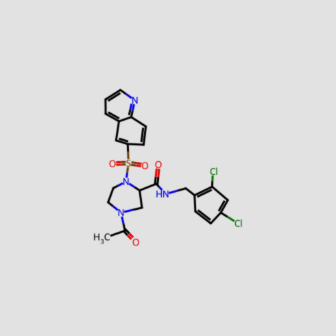 CC(=O)N1CCN(S(=O)(=O)c2ccc3ncccc3c2)C(C(=O)NCc2ccc(Cl)cc2Cl)C1